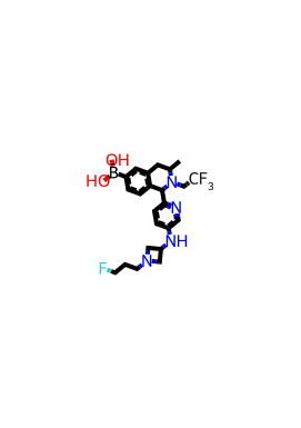 CC1Cc2cc(B(O)O)ccc2C(c2ccc(NC3CN(CCCF)C3)cn2)N1CC(F)(F)F